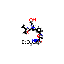 CCOC(=O)C(NC(=O)c1cnc(-c2cccc(-c3cc(C(=O)NC(C4CC4)C4CC4)n(CCCO)n3)c2)o1)C(C)C